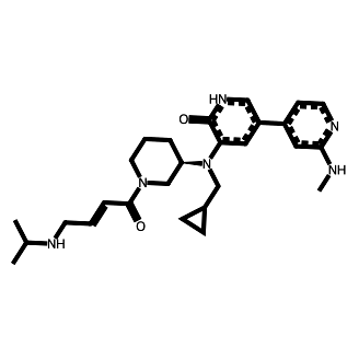 CNc1cc(-c2c[nH]c(=O)c(N(CC3CC3)[C@@H]3CCCN(C(=O)C=CCNC(C)C)C3)c2)ccn1